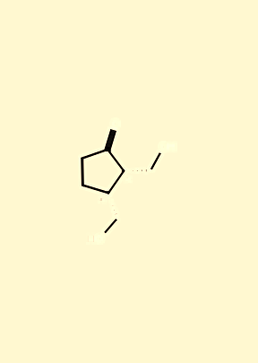 O=C1CC[C@@H](CO)[C@H]1CO